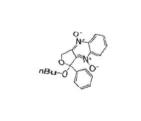 CCCCOC1(c2ccccc2)OCc2c1[n+]([O-])c1ccccc1[n+]2[O-]